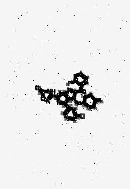 C=C(c1ccccc1F)c1nc2cc(-c3noc(=O)[nH]3)nc(-c3cncc(Cl)c3)c2n1CC1CCC(C)CC1